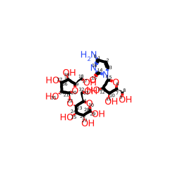 Nc1ccn([C@@H]2O[C@H](CO)[C@@H](O)[C@H]2O)c(=O)n1.OC[C@H]1O[C@@H](O[C@H]2[C@H](O)[C@@H](O)[C@H](O)O[C@@H]2CO)[C@H](O)[C@@H](O)[C@H]1O